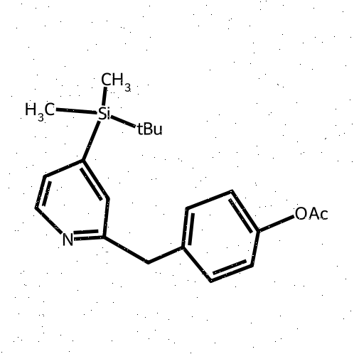 CC(=O)Oc1ccc(Cc2cc([Si](C)(C)C(C)(C)C)ccn2)cc1